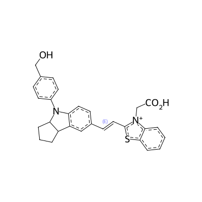 O=C(O)C[n+]1c(/C=C/c2ccc3c(c2)C2CCCC2N3c2ccc(CO)cc2)sc2ccccc21